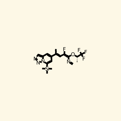 C=N/C(O[C@@H](C)C(F)(F)F)=C(F)\C=C(/C)c1cc([Si](C)(C)C)n2nncc2c1